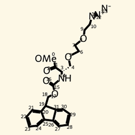 COC(=O)[C@H](COCCOCCN=[N+]=[N-])NC(=O)OCC1c2ccccc2-c2ccccc21